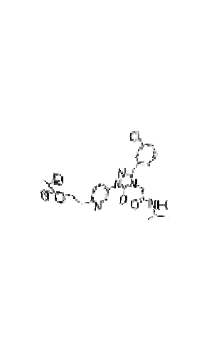 CC(C)NC(=O)Cn1c(-c2cccc(Cl)c2)nn(-c2ccc(CCOS(C)(=O)=O)nc2)c1=O